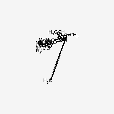 CCCCCCCCCCCCCCCCCCCCCCCCCCCCC=CC(=Nc1cc(CCCC)cc(CCCC)c1)C(CCCCCC)=Nc1cc(CCCC)cc(CCCC)c1.CCc1ccc(O)c(O)c1C(=O)[O-].CCc1ccc(O)c(O)c1C(=O)[O-].[Ni+2]